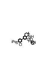 CC(C)Oc1ccc(-c2ccc3c(c2)CCC(C)(C)[C@H]3NC(=O)O[C@H]2CN3CCC2CC3)cc1Cl